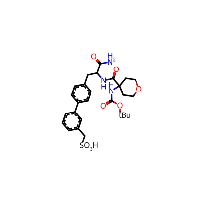 CC(C)(C)OC(=O)NC1(C(=O)NC(Cc2ccc(-c3cccc(CS(=O)(=O)O)c3)cc2)C(N)=O)CCOCC1